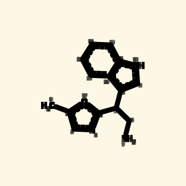 Cc1cnc(C(CN)c2c[nH]c3ccccc23)o1